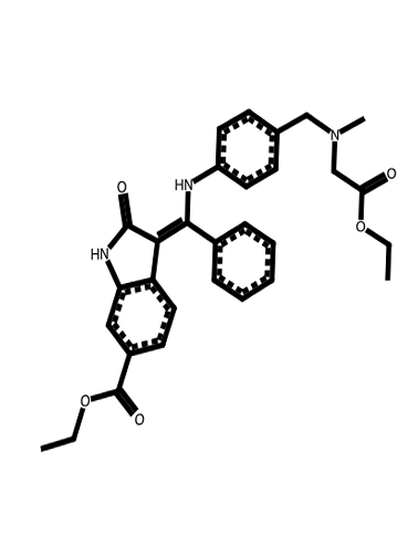 CCOC(=O)CN(C)Cc1ccc(N/C(=C2\C(=O)Nc3cc(C(=O)OCC)ccc32)c2ccccc2)cc1